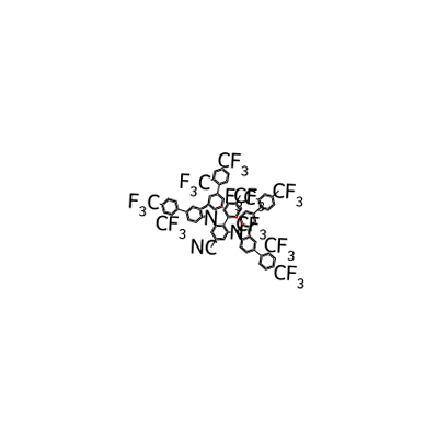 N#Cc1cc(-n2c3ccc(-c4ccc(C(F)(F)F)cc4C(F)(F)F)cc3c3cc(-c4ccc(C(F)(F)F)cc4C(F)(F)F)ccc32)c(-c2ccc(C(F)(F)F)cc2C(F)(F)F)c(-n2c3ccc(-c4ccc(C(F)(F)F)cc4C(F)(F)F)cc3c3cc(-c4ccc(C(F)(F)F)cc4C(F)(F)F)ccc32)c1